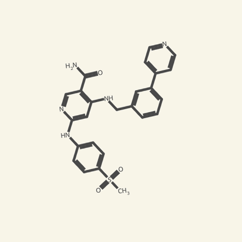 CS(=O)(=O)c1ccc(Nc2cc(NCc3cccc(-c4ccncc4)c3)c(C(N)=O)cn2)cc1